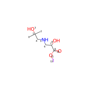 CC(C)(O)CNCC(O)C(=O)OI